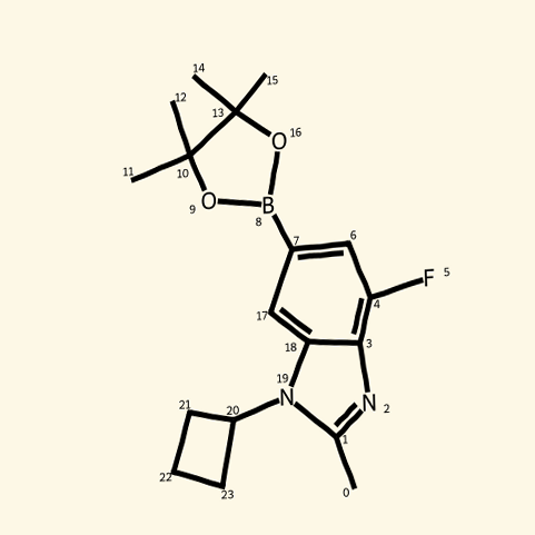 Cc1nc2c(F)cc(B3OC(C)(C)C(C)(C)O3)cc2n1C1CCC1